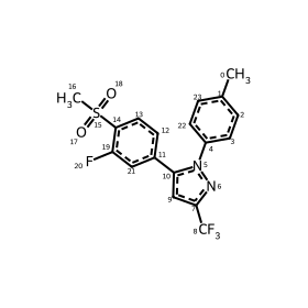 Cc1ccc(-n2nc(C(F)(F)F)cc2-c2ccc(S(C)(=O)=O)c(F)c2)cc1